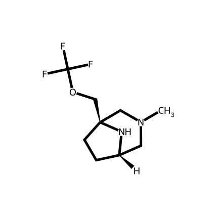 CN1C[C@@H]2CC[C@](COC(F)(F)F)(C1)N2